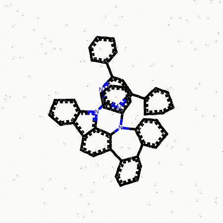 c1ccc(-c2cc(-c3ccccc3)nc(-n3c4ccccc4c4ccc5c(c43)N(c3ccccc3)c3ccccc3-c3ccccc3-5)n2)cc1